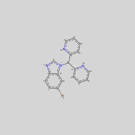 Brc1ccc2ncn(C(c3ccccn3)c3ccccn3)c2c1